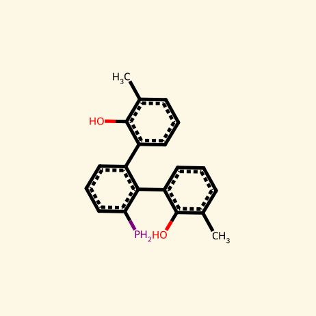 Cc1cccc(-c2cccc(P)c2-c2cccc(C)c2O)c1O